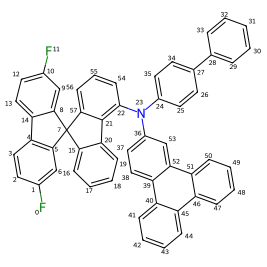 Fc1ccc2c(c1)C1(c3cc(F)ccc3-2)c2ccccc2-c2c(N(c3ccc(-c4ccccc4)cc3)c3ccc4c5ccccc5c5ccccc5c4c3)cccc21